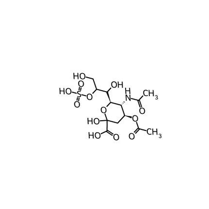 CC(=O)N[C@@H]1[C@@H](OC(C)=O)CC(O)(C(=O)O)O[C@H]1C(O)C(CO)OS(=O)(=O)O